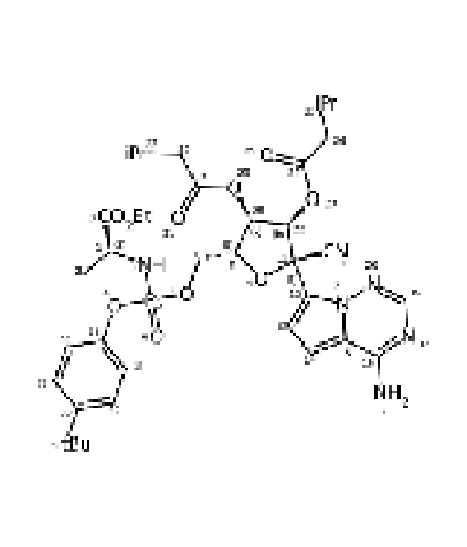 CCOC(=O)[C@H](C)NP(=O)(OC[C@H]1O[C@@](C#N)(c2ccc3c(N)ncnn23)[C@H](OC(=O)CC(C)C)[C@@H]1OC(=O)CC(C)C)Oc1ccc(C(C)(C)C)cc1